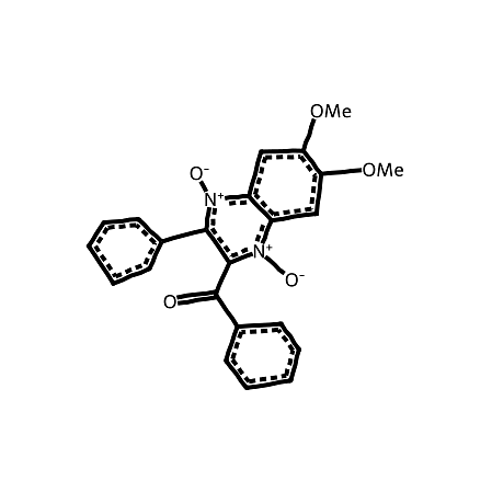 COc1cc2c(cc1OC)[n+]([O-])c(-c1ccccc1)c(C(=O)c1ccccc1)[n+]2[O-]